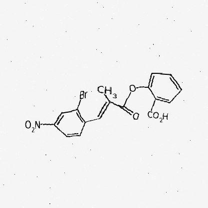 CC(=Cc1ccc([N+](=O)[O-])cc1Br)C(=O)Oc1ccccc1C(=O)O